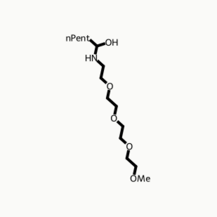 CCCCCC(O)NCCOCCOCCOCCOC